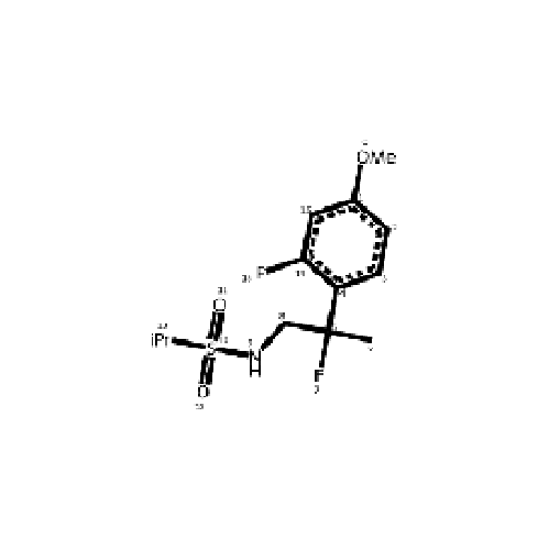 COc1ccc(C(C)(F)CNS(=O)(=O)C(C)C)c(F)c1